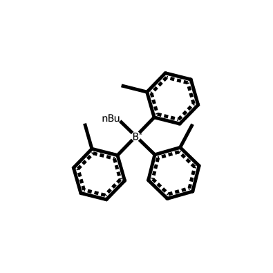 CCCC[B-](c1ccccc1C)(c1ccccc1C)c1ccccc1C